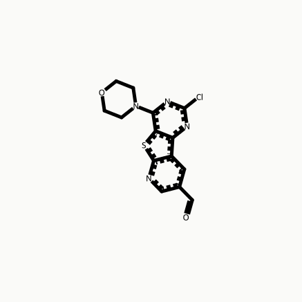 O=Cc1cnc2sc3c(N4CCOCC4)nc(Cl)nc3c2c1